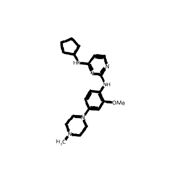 COc1cc(N2CCN(C)CC2)ccc1Nc1nccc(NC2CCCC2)n1